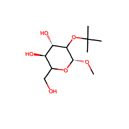 CO[C@@H]1OC(CO)[C@@H](O)[C@H](O)C1OC(C)(C)C